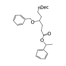 CCCCCCCCCCCCC(CCC(=O)OC(C)c1ccccc1)OCc1ccccc1